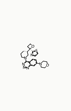 c1csc([C@]2([C@H]3CCCN(c4nnnc5cc(N6CCOCC6)ccc45)C3)CCO2)n1